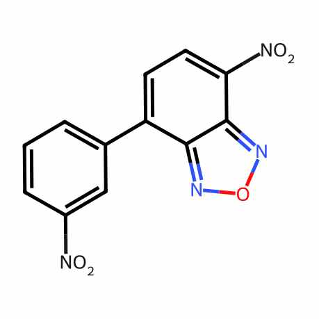 O=[N+]([O-])c1cccc(-c2ccc([N+](=O)[O-])c3nonc23)c1